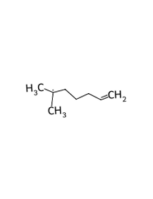 C=CCCC[C](C)C